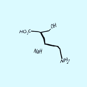 NCCC(O)C(=O)O.[NaH]